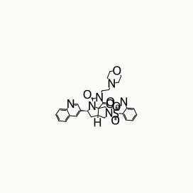 O=C1N(CCN2CCOCC2)C(=O)C23CN(S(=O)(=O)c4ccccc4[N+](=O)[O-])C[C@@H]2C[C@@H](c2cnc4ccccc4c2)N13